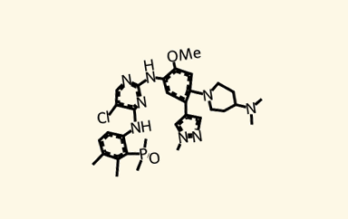 COc1cc(N2CCC(N(C)C)CC2)c(-c2cnn(C)c2)cc1Nc1ncc(Cl)c(Nc2ccc(C)c(C)c2P(C)(C)=O)n1